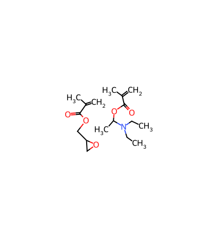 C=C(C)C(=O)OC(C)N(CC)CC.C=C(C)C(=O)OCC1CO1